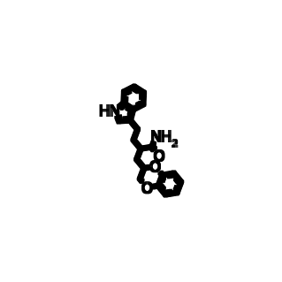 NC(=O)C(CCc1c[nH]c2ccccc12)CC1COc2ccccc2O1